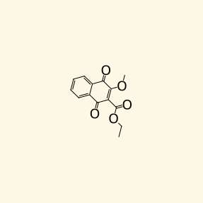 CCOC(=O)C1=C(OC)C(=O)c2ccccc2C1=O